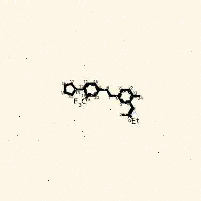 CC/C(C)=C/c1cc(CCc2ccc(C3CCCC3)c(C(F)(F)F)c2)ccc1C